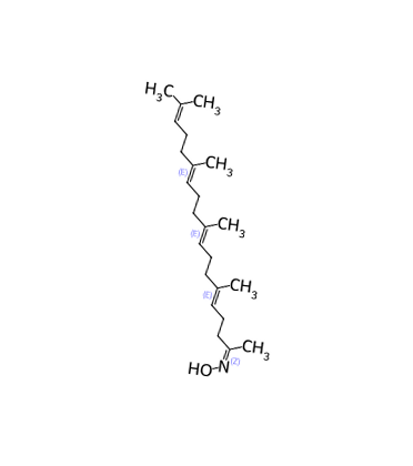 CC(C)=CCC/C(C)=C/CC/C(C)=C/CC/C(C)=C/CC/C(C)=N\O